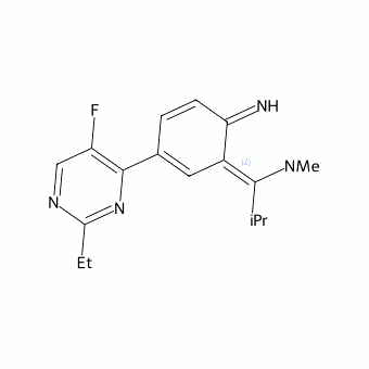 CCc1ncc(F)c(C2=C/C(=C(/NC)C(C)C)C(=N)C=C2)n1